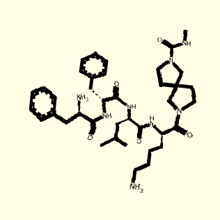 CNC(=O)N1CCC2(CCN(C(=O)[C@@H](CCCCN)NC(=O)[C@@H](CC(C)C)NC(=O)[C@@H](Cc3ccccc3)NC(=O)[C@H](N)Cc3ccccc3)C2)C1